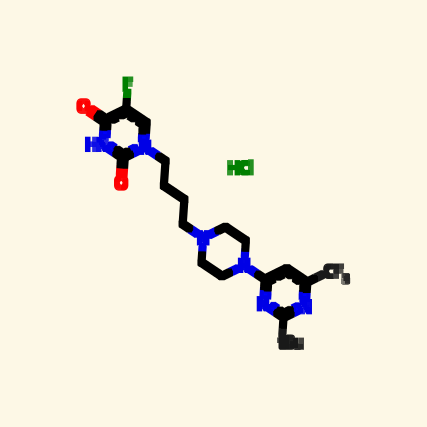 CC(C)(C)c1nc(N2CCN(CCCCn3cc(F)c(=O)[nH]c3=O)CC2)cc(C(F)(F)F)n1.Cl